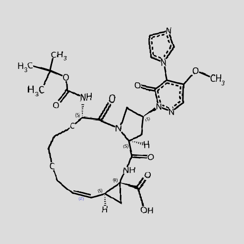 COc1cnn([C@H]2C[C@H]3C(=O)N[C@]4(C(=O)O)C[C@H]4/C=C\CCCCC[C@H](NC(=O)OC(C)(C)C)C(=O)N3C2)c(=O)c1-n1ccnc1